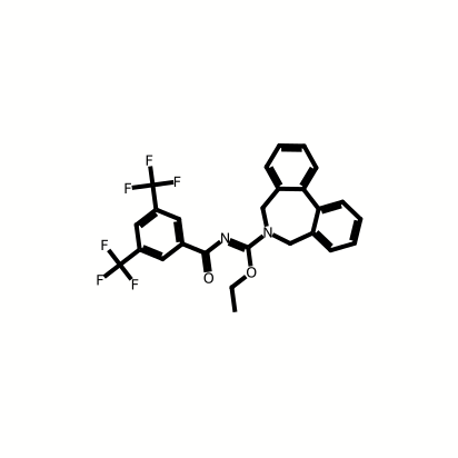 CCOC(=NC(=O)c1cc(C(F)(F)F)cc(C(F)(F)F)c1)N1Cc2ccccc2-c2ccccc2C1